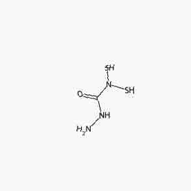 NNC(=O)N(S)S